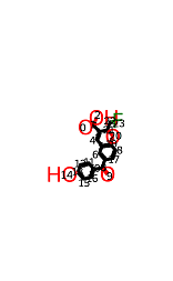 O=C(O)C1=Cc2cc(C(=O)c3ccc(O)cc3)ccc2OC1CF